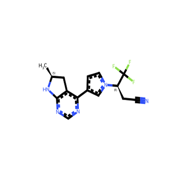 C[C@H]1Cc2c(ncnc2-c2ccn([C@H](CC#N)C(F)(F)F)c2)N1